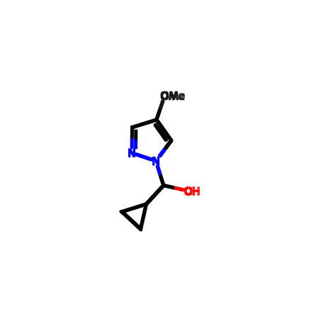 COc1cnn(C(O)C2CC2)c1